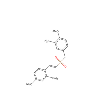 COc1ccc(C=CS(=O)(=O)Cc2ccc(OC)c(C)c2)c(OC)c1